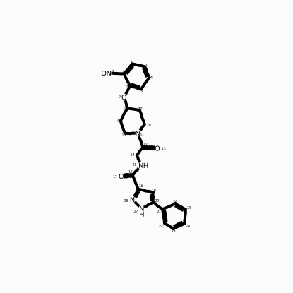 O=Nc1ccccc1OC1CCN(C(=O)CNC(=O)c2cc(-c3ccccc3)[nH]n2)CC1